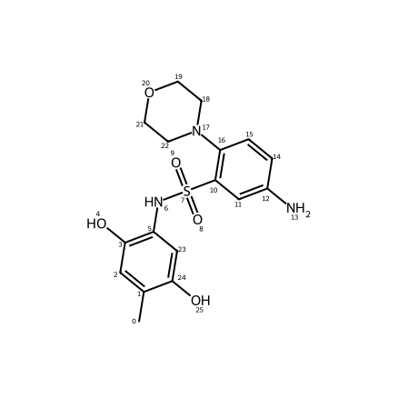 Cc1cc(O)c(NS(=O)(=O)c2cc(N)ccc2N2CCOCC2)cc1O